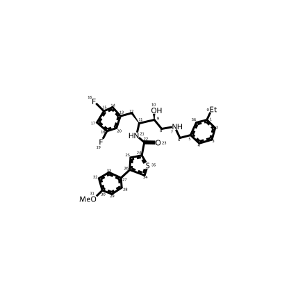 CCc1cccc(CNC[C@H](O)[C@H](Cc2cc(F)cc(F)c2)NC(=O)c2cc(-c3ccc(OC)cc3)cs2)c1